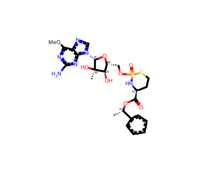 COc1nc(N)nc2c1ncn2[C@@H]1O[C@H](COP2(=O)N[C@H](C(=O)O[C@@H](C)c3ccccc3)CCS2)[C@@H](O)[C@@]1(C)O